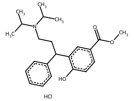 COC(=O)c1ccc(O)c(C(CCN(C(C)C)C(C)C)c2ccccc2)c1.Cl